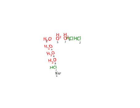 Cl.Cl.Cl.O.O.O.O.O.O.[Eu]